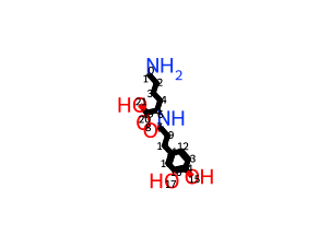 NCCCCC(NC(=O)CCc1ccc(O)c(O)c1)C(=O)O